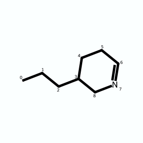 CCCC1CCC=NC1